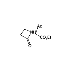 CCOC(=O)CC(C)=O.O=C1CCN1